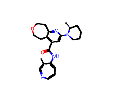 CC1=C=NC=CC=C1NC(=O)c1cc(N2CCCC[C@@H]2C)nc2c1CCOCC2